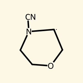 N#CN1[CH]COCC1